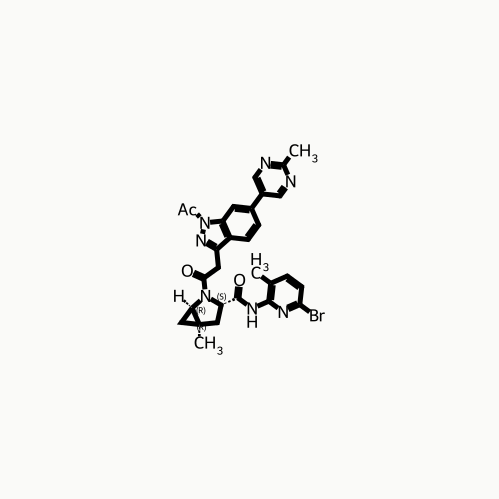 CC(=O)n1nc(CC(=O)N2[C@H](C(=O)Nc3nc(Br)ccc3C)C[C@@]3(C)C[C@@H]23)c2ccc(-c3cnc(C)nc3)cc21